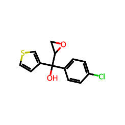 OC(c1ccc(Cl)cc1)(c1ccsc1)C1CO1